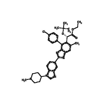 CCOC(=O)[C@@H](OC(C)(C)C)c1c(C)cc2nc(-c3ccc4c(c3)ncn4C3CCN(C)CC3)sc2c1-c1ccc(Cl)cc1